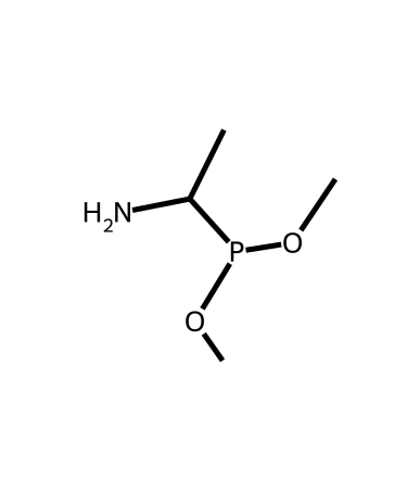 COP(OC)C(C)N